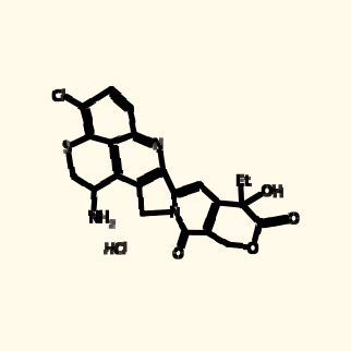 CCC1(O)C(=O)OCc2c1cc1n(c2=O)Cc2c-1nc1ccc(Cl)c3c1c2C(N)CS3.Cl